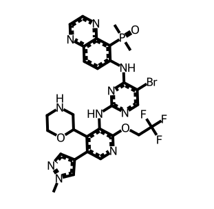 Cn1cc(-c2cnc(OCC(F)(F)F)c(Nc3ncc(Br)c(Nc4ccc5nccnc5c4P(C)(C)=O)n3)c2C2CNCCO2)cn1